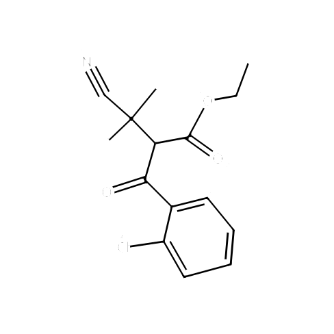 CCOC(=O)C(C(=O)c1ccccc1Cl)C(C)(C)C#N